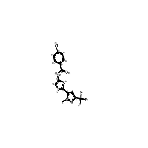 Cn1nc(C(F)(F)F)cc1-c1ncc(NC(=O)c2ccc(Cl)cc2)s1